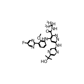 [2H]C([2H])([2H])NC(=O)c1nnc(Nc2cnc(C(C)(C)O)cn2)cc1Nc1cccc(-c2ncc(F)cn2)c1OC